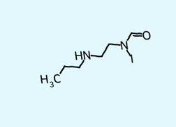 CCCNCCN(I)C=O